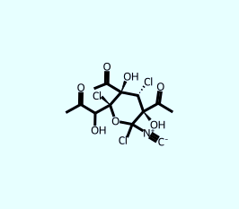 [C-]#[N+]C1(Cl)O[C@](Cl)(C(O)C(C)=O)[C@](O)(C(C)=O)[C@H](Cl)[C@]1(O)C(C)=O